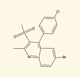 Cc1nc2ccc(Br)cc2c(-c2ccc(Cl)cc2)c1S(C)(=O)=O